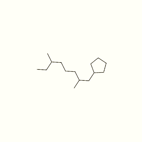 CCC(C)CCCC(C)CC1CCCC1